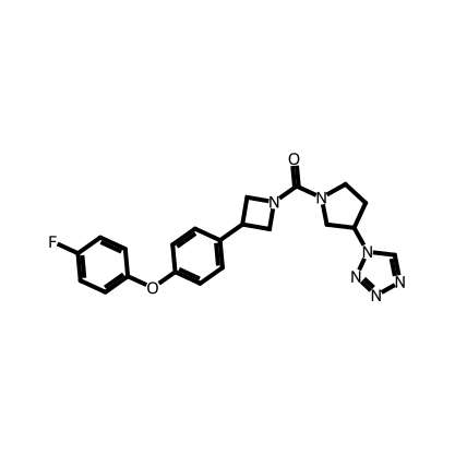 O=C(N1CC(c2ccc(Oc3ccc(F)cc3)cc2)C1)N1CCC(n2cnnn2)C1